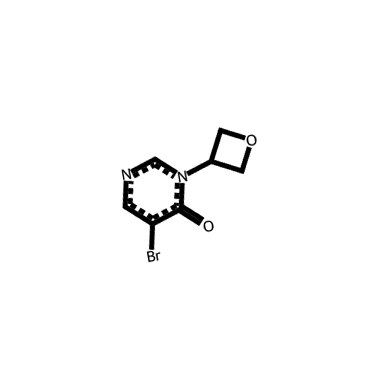 O=c1c(Br)cncn1C1COC1